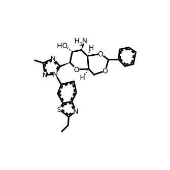 CCc1nc2ccc(-n3nc(C)nc3[C@@H]3O[C@@H]4COC(c5ccccc5)O[C@@H]4[C@H](N)[C@H]3O)cc2s1